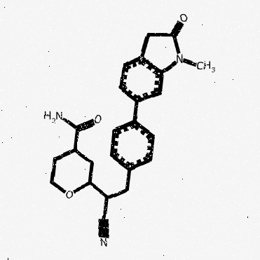 CN1C(=O)Cc2ccc(-c3ccc(CC(C#N)C4CC(C(N)=O)CCO4)cc3)cc21